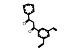 C=Cc1cc(C=C)cc(C(=O)CC(=O)c2ccccc2)c1